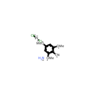 COc1cc(OC)c(C#N)c(OC)c1.N.[Cl][Pt][Cl]